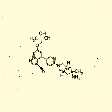 CC(C)(O)COc1cc(-c2ccc(N3C[C@@H]4C[C@](C)(N)C[C@@H]4C3)nc2)c2c(C#N)cnn2c1